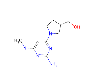 CNc1cc(N2CC[C@H](CO)C2)nc(N)n1